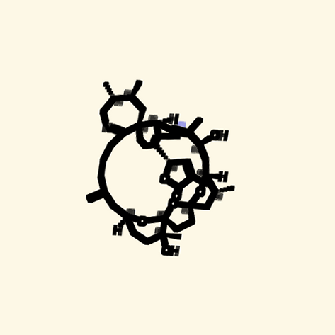 C=C1CCCC2=NC[C@H](C)[C@@H](C)C[C@@]23CCC([C@@H]2C=C(C)C(=O)O2)=C(C)[C@@H]3/C=C(\C)[C@@H](O)C[C@H]2O[C@]3(CC[C@@]4(O[C@@H](CC[C@@]4(C)O)C1)O3)C[C@H]2C